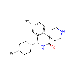 CC(C)C1CCC(C2NC(=O)C3(CCNCC3)c3ccc(C#N)cc32)CC1